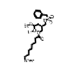 CCCCCCCCCCCCCCCCCC(=O)OCC(COS(=O)(=O)Cc1ccccc1)CC(OCC)OCC